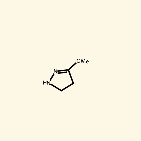 COC1=NNC[CH]1